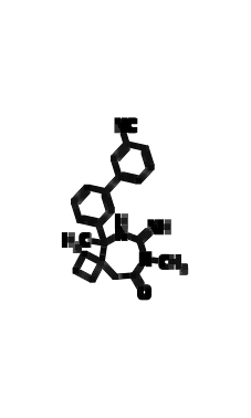 [C-]#[N+]c1cccc(-c2cccc(C3(C)NC(=N)N(C)C(=O)CC34CCC4)c2)c1